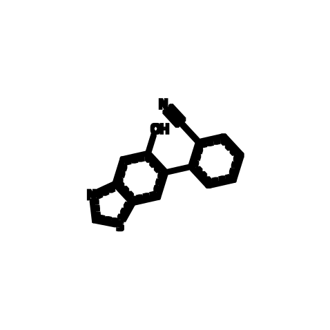 N#Cc1ccccc1-c1cc2scnc2cc1O